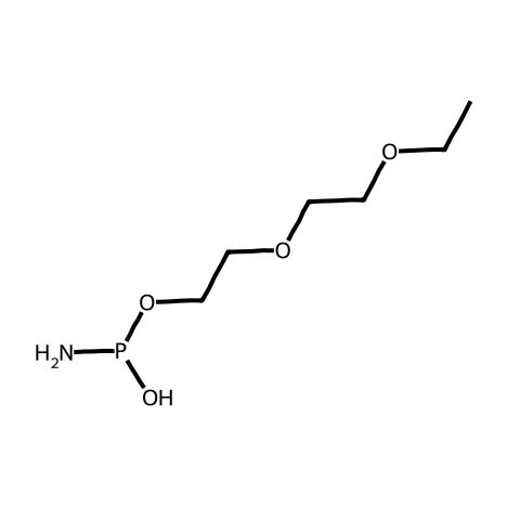 CCOCCOCCOP(N)O